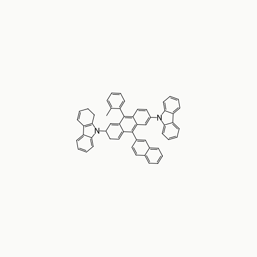 Cc1ccccc1-c1c2c(c(-c3ccc4ccccc4c3)c3cc(-n4c5ccccc5c5ccccc54)ccc13)=CCC(n1c3c(c4ccccc41)C=CCC3)C=2